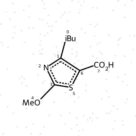 CCC(C)c1nc(OC)sc1C(=O)O